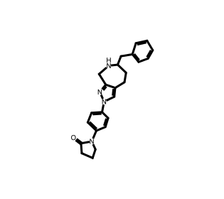 O=C1CCCN1c1ccc(-n2cc3c(n2)CNC(Cc2ccccc2)CC3)cc1